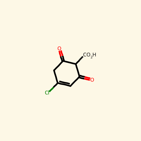 O=C(O)C1C(=O)C=C(Cl)CC1=O